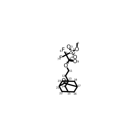 COS(=O)(=O)C(F)(F)C(=O)OCCC12CC3CC(C1)C(=O)C(C3)C2